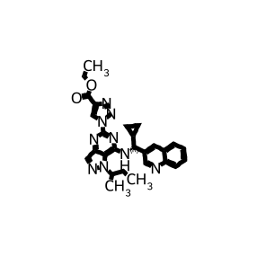 CCOC(=O)c1cn(-c2nc(N[C@@H](c3cnc4ccccc4c3)C3CC3)c3c(cnn3C(C)CC)n2)nn1